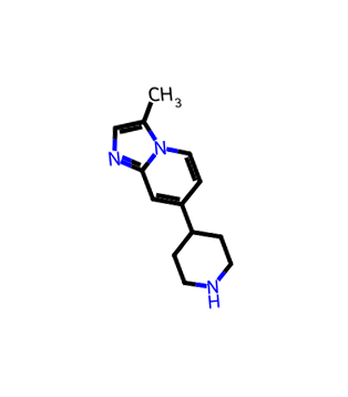 Cc1cnc2cc(C3CCNCC3)ccn12